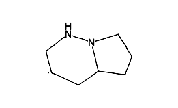 [CH]1CNN2CCCC2C1